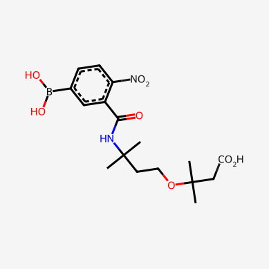 CC(C)(CCOC(C)(C)CC(=O)O)NC(=O)c1cc(B(O)O)ccc1[N+](=O)[O-]